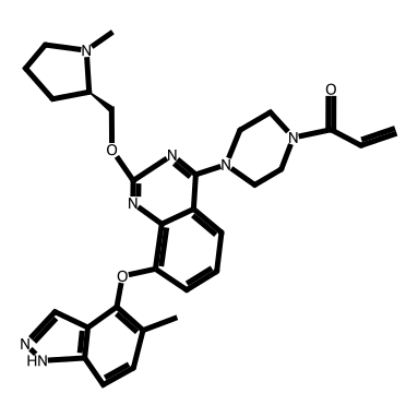 C=CC(=O)N1CCN(c2nc(OC[C@H]3CCCN3C)nc3c(Oc4c(C)ccc5[nH]ncc45)cccc23)CC1